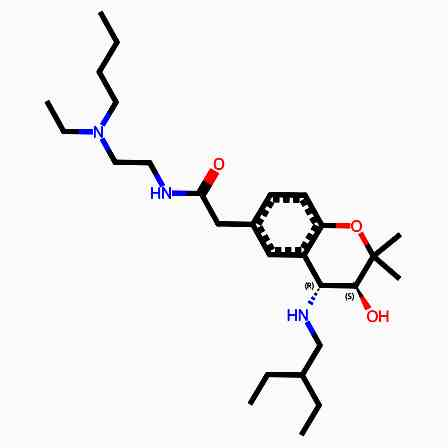 CCCCN(CC)CCNC(=O)Cc1ccc2c(c1)[C@@H](NCC(CC)CC)[C@H](O)C(C)(C)O2